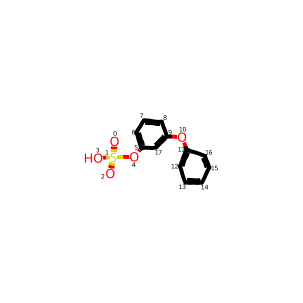 O=S(=O)(O)Oc1cccc(Oc2ccccc2)c1